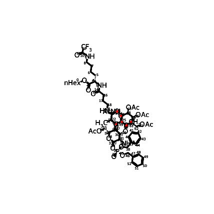 CCCCCCOC(=O)[C@H](CCCCNC(=O)C(F)(F)F)NC(=O)CCCNC(=O)[C@H](C)NC(=O)[C@@H](C)O[C@@H]1[C@@H](NC(C)=O)[C@@H](OP(=O)(OCc2ccccc2)OCc2ccccc2)O[C@H](COC(C)=O)[C@H]1O[C@@H]1O[C@H](COC(C)=O)[C@@H](OC(C)=O)[C@H](OC(C)=O)[C@H]1NC(C)=O